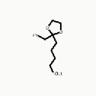 CCCCCCCCCCCCC1(CC(C)C)OCCO1